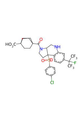 O=C(O)C12CCC(C(=O)N3CCC4(S(=O)(=O)c5ccc(Cl)cc5)c5ccc(C(F)(C(F)(F)F)C(F)(F)F)cc5NCC34)(CC1)CC2